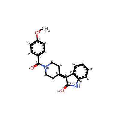 COc1ccc(C(=O)N2CCC(=C3C(=O)Nc4ccccc43)CC2)cc1